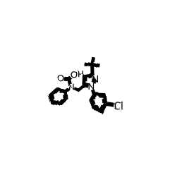 CC(C)(C)c1cc(CN(C(=O)O)c2ccccc2)n(-c2cccc(Cl)c2)n1